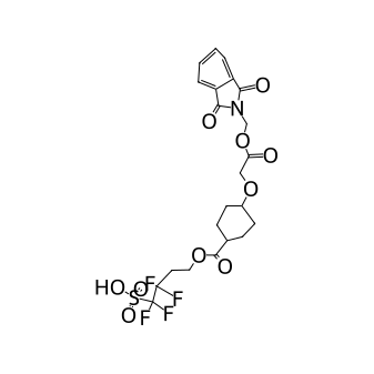 O=C(COC1CCC(C(=O)OCCC(F)(F)C(F)(F)S(=O)(=O)O)CC1)OCN1C(=O)c2ccccc2C1=O